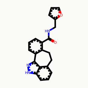 O=C(NCc1ccco1)c1cccc2c1CCc1cccc3[nH]nc-2c13